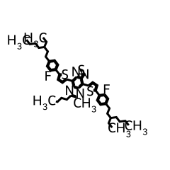 CCCCc1nc2c(-c3ccc(-c4ccc(CCC(CC)CCCC)cc4F)s3)c3nsnc3c(-c3ccc(-c4ccc(CCC(CC)CCCC)cc4F)s3)c2nc1C